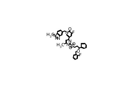 Cc1cc(-c2cc(F)c(=O)n(Cc3ccc4c(c3)nnn4C)c2)nc(S(=O)(=O)CCC(OCc2ccccc2F)c2ccccc2)n1